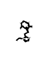 CCn1ccnc1CCc1c(C)cccc1C